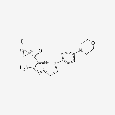 Nc1nc2ccc(-c3ccc(N4CCOCC4)cc3)cn2c1C(=O)[C@@H]1C[C@@H]1F